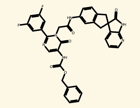 O=C(Cn1c(-c2cc(F)cc(F)c2)ncc(NC(=O)OCc2ccccc2)c1=O)Nc1ccc2c(c1)CC1(C2)C(=O)Nc2ncccc21